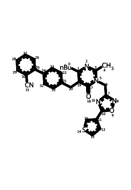 CCCCc1nc(C)n(Cc2noc(-c3ccsc3)n2)c(=O)c1Cc1ccc(-c2ccccc2C#N)cc1